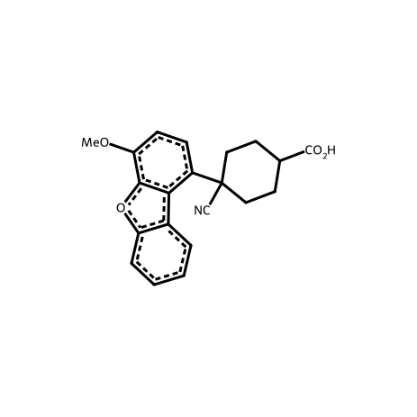 COc1ccc(C2(C#N)CCC(C(=O)O)CC2)c2c1oc1ccccc12